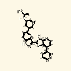 C=C(Nc1cncc(-c2ccc3[nH]nc(-c4nc5c(-c6cccnc6)ccnc5[nH]4)c3n2)c1)C(C)C